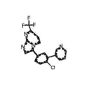 FC(F)(F)c1ccn2c(-c3ccc(Cl)c(-c4cccnc4)c3)cnc2n1